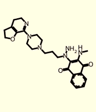 CNC1=C(N(N)CCCN2CCN(C3=NCCC4=C3OCC4)CC2)C(=O)c2ccccc2C1=O